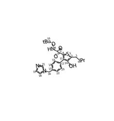 CC(C)Cc1sc(S(=O)(=O)NOC(C)(C)C)c(-c2ccc(Cn3ccnc3)cc2)c1O